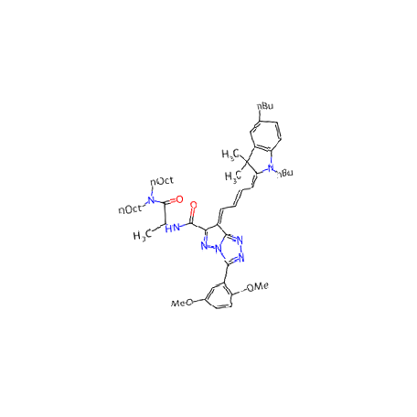 CCCCCCCCN(CCCCCCCC)C(=O)C(C)NC(=O)c1nn2c(-c3cc(OC)ccc3OC)nnc2\c1=C/C=C/C=C1/N(CCCC)c2ccc(CCCC)cc2C1(C)C